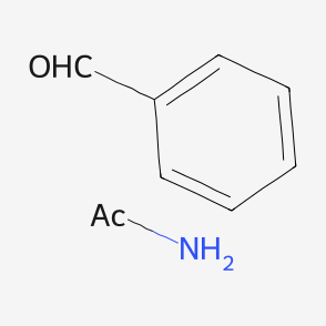 CC(N)=O.O=Cc1ccccc1